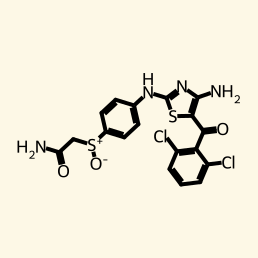 NC(=O)C[S+]([O-])c1ccc(Nc2nc(N)c(C(=O)c3c(Cl)cccc3Cl)s2)cc1